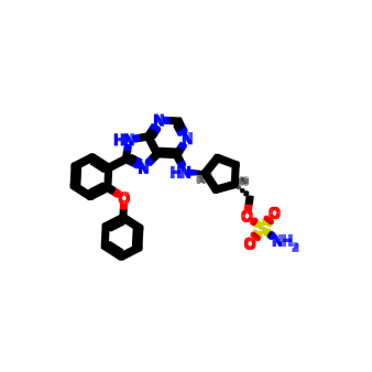 NS(=O)(=O)OC[C@H]1CC[C@H](Nc2ncnc3[nH]c(-c4ccccc4Oc4ccccc4)nc23)C1